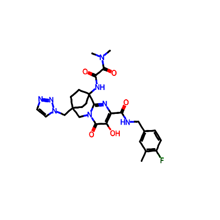 Cc1cc(CNC(=O)c2nc3n(c(=O)c2O)CC2(Cn4ccnn4)CCC3(NC(=O)C(=O)N(C)C)CC2)ccc1F